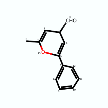 CC1=CC(C=O)C=C(c2ccccc2)O1